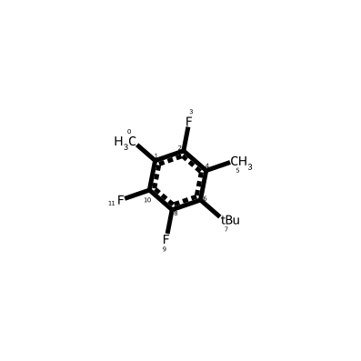 Cc1c(F)c(C)c(C(C)(C)C)c(F)c1F